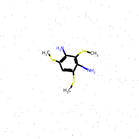 CSc1cc(SC)c(N)c(SC)c1N